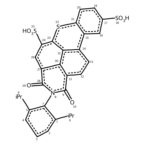 CC(C)c1cccc(C(C)C)c1-n1c(=O)c2ccc3c4cc(S(=O)(=O)O)ccc4sc4c(S(=O)(=O)O)cc(c1=O)c2c43